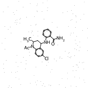 CC(=O)N1c2ccc(Cl)cc2C(Nc2ccccc2C(N)=O)CC1C